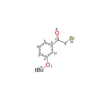 CC(C)(C)Oc1cccc(C(=O)CBr)c1